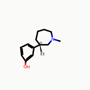 CC[C@@]1(c2cccc(O)c2)CCCCN(C)C1